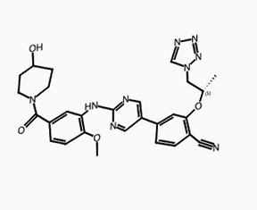 COc1ccc(C(=O)N2CCC(O)CC2)cc1Nc1ncc(-c2ccc(C#N)c(O[C@@H](C)Cn3cnnn3)c2)cn1